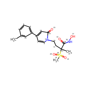 Cc1cccc(-c2ccn(CCC(C)(C(=O)NO)S(C)(=O)=O)c(=O)c2)c1